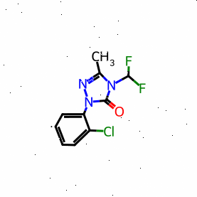 Cc1nn(-c2c[c]ccc2Cl)c(=O)n1C(F)F